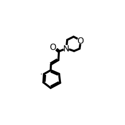 O=C(/C=C/c1[c]cccc1)N1CCOCC1